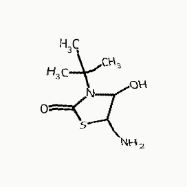 CC(C)(C)N1C(=O)SC(N)C1O